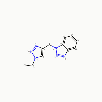 CCn1cc(Cn2nnc3ccccc32)nn1